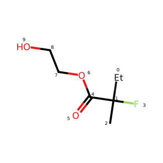 CCC(C)(F)C(=O)OCCO